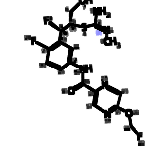 C/N=C(/N)S[C@H](CO)[C@H](F)c1cc(NC(=O)c2cnc(OCF)cn2)ccc1F